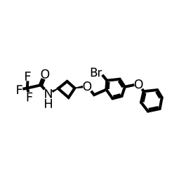 O=C(N[C@H]1C[C@@H](OCc2ccc(Oc3ccccc3)cc2Br)C1)C(F)(F)F